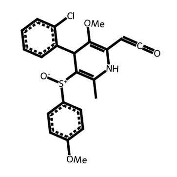 COC1=C(C=C=O)NC(C)=C([S+]([O-])c2ccc(OC)cc2)C1c1ccccc1Cl